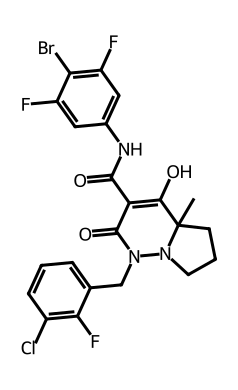 CC12CCCN1N(Cc1cccc(Cl)c1F)C(=O)C(C(=O)Nc1cc(F)c(Br)c(F)c1)=C2O